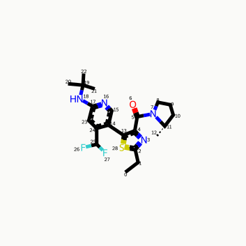 CCc1nc(C(=O)N2CCC[C@@H]2C)c(-c2cnc(NC(C)(C)C)cc2C(F)F)s1